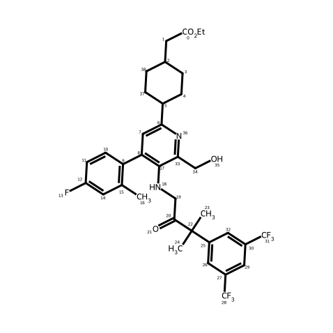 CCOC(=O)CC1CCC(c2cc(-c3ccc(F)cc3C)c(NCC(=O)C(C)(C)c3cc(C(F)(F)F)cc(C(F)(F)F)c3)c(CO)n2)CC1